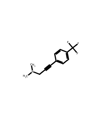 CN(C)CC#Cc1ccc(C(F)(F)F)cc1